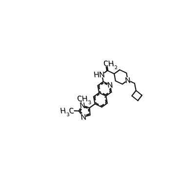 C=C(Nc1cc2cc(-c3cnc(C)n3C)ccc2cn1)C1CCN(CC2CCC2)CC1